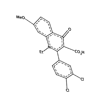 CCn1c(-c2ccc(Cl)c(Cl)c2)c(C(=O)O)c(=O)c2ccc(OC)cc21